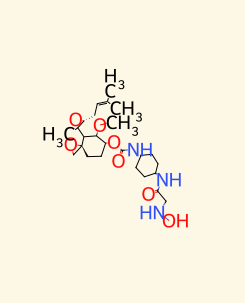 COC1C(OC(=O)N[C@H]2CC[C@H](NC(=O)CNO)CC2)CC[C@]2(CO2)C1C1(C)O[C@@H]1CC=C(C)C